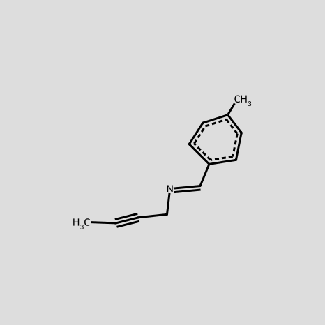 CC#CC/N=C/c1ccc(C)cc1